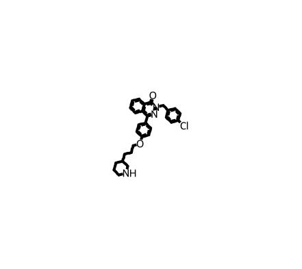 O=c1c2ccccc2c(-c2ccc(OCCCC3CCCNC3)cc2)nn1Cc1ccc(Cl)cc1